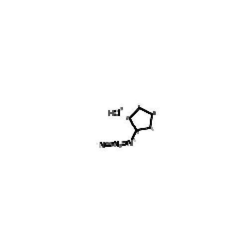 Cl.[N-]=[N+]=NC1CCCC1